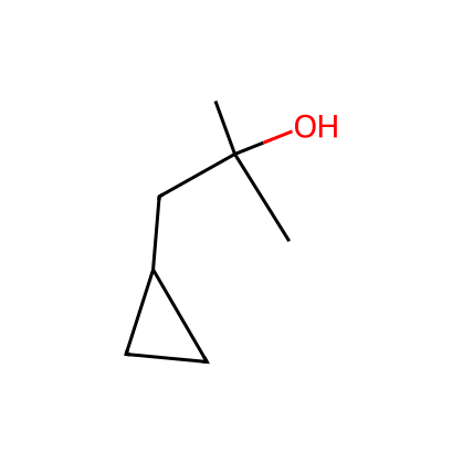 CC(C)(O)CC1CC1